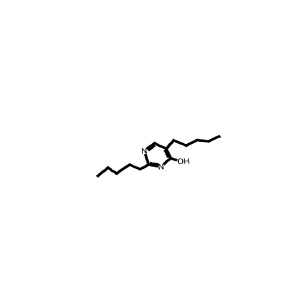 CCCCCc1ncc(CCCCC)c(O)n1